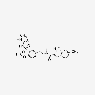 CNC(=S)NS(=O)(=O)c1cc(CCNC(=O)C=Cc2ccc(C)cc2C)ccc1OC